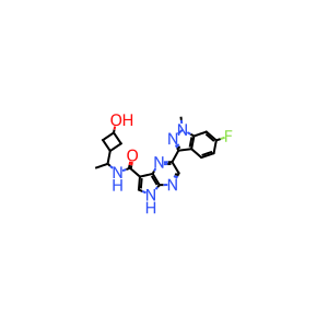 CC(NC(=O)c1c[nH]c2ncc(-c3nn(C)c4cc(F)ccc34)nc12)C1CC(O)C1